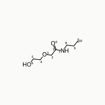 O=C(COCCO)NCCI